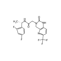 C[C@H](NC(=O)CN1Cc2nc(C(F)(F)F)ccc2NC1=O)c1ccc(F)cc1F